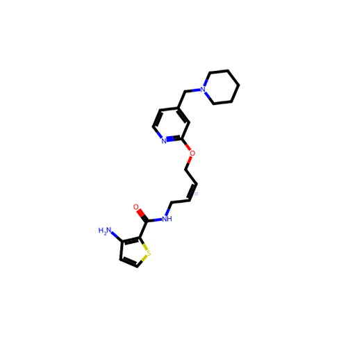 Nc1ccsc1C(=O)NC/C=C\COc1cc(CN2CCCCC2)ccn1